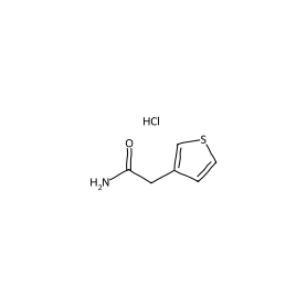 Cl.NC(=O)Cc1ccsc1